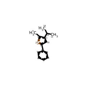 Cc1sc(-c2ccccc2)cc1C(C)C